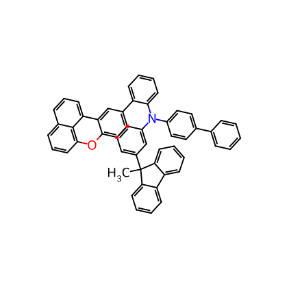 CC1(c2cccc(N(c3ccc(-c4ccccc4)cc3)c3ccccc3-c3ccc4c(c3)-c3cccc5cccc(c35)O4)c2)c2ccccc2-c2ccccc21